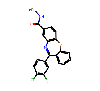 CCCCNC(=O)c1ccc2c(c1)N=C(c1ccc(Cl)c(Cl)c1)c1ccccc1S2